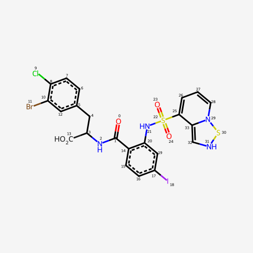 O=C(NC(Cc1ccc(Cl)c(Br)c1)C(=O)O)c1ccc(I)cc1NS(=O)(=O)C1=CC=CN2SNC=C12